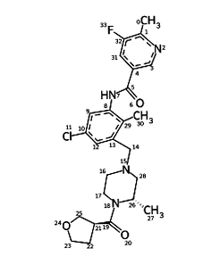 Cc1ncc(C(=O)Nc2cc(Cl)cc(CN3CCN(C(=O)[C@H]4CCOC4)[C@@H](C)C3)c2C)cc1F